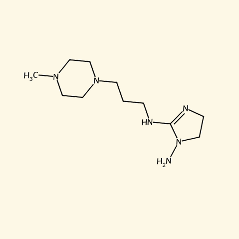 CN1CCN(CCCNC2=NCCN2N)CC1